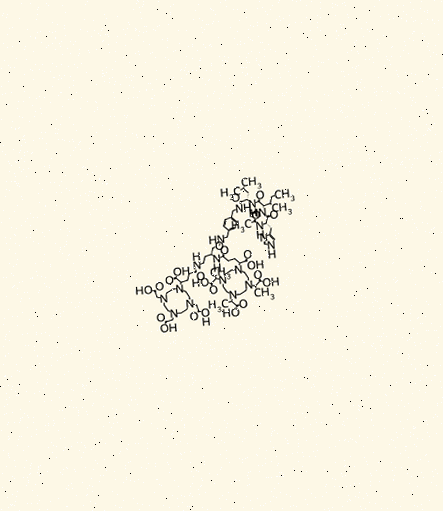 CCC(C)[C@H](NC(=O)[C@H](Cc1c[nH]cn1)NC(C)=O)C(=O)N[C@@H](CC(C)C)C(=O)NCc1ccc(CNOC[C@H](CCNC(=O)CCC(C(=O)O)N2CCN(CC(=O)O)CCN(CC(=O)O)CCN(CC(=O)O)CC2)NC(=O)CCC(C(=O)O)N2CCN(C(C)C(=O)O)CCN(C(C)C(=O)O)CCN(C(C)C(=O)O)CC2)cc1